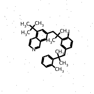 Cc1ccccc1C(C)(C)Cc1ccc(I)c(C(C)(C)Cc2cc(C(C)(C)C)c3ccncc3c2)c1